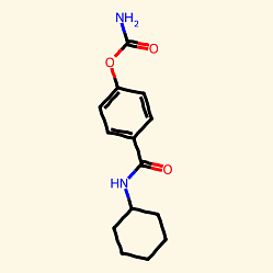 NC(=O)Oc1ccc(C(=O)NC2CCCCC2)cc1